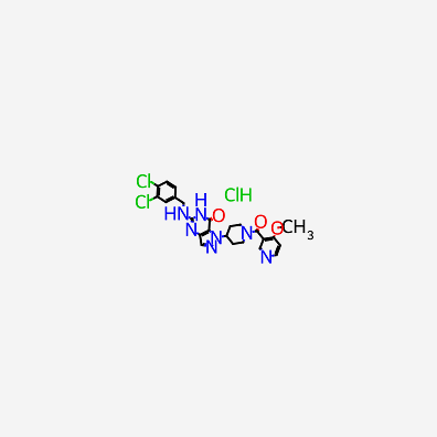 COc1ccncc1C(=O)N1CCC(n2ncc3nc(NCc4ccc(Cl)c(Cl)c4)[nH]c(=O)c32)CC1.Cl